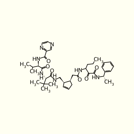 CCCC(NC(=O)C[C@H]1CC=C[C@H]1CNC(=O)[C@@H](NC(=O)[C@H](NC(=O)c1cnccn1)C(C)C)C(C)(C)C)C(=O)C(=O)N[C@@H](C)c1ccccc1